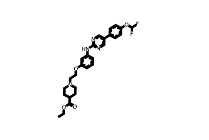 CCOC(=O)C1CCN(CCOc2cccc(Nc3ncc(-c4ccc(OC(F)F)cc4)cn3)c2)CC1